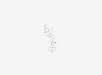 COC(=O)[C@H](Cc1ccc(O)c(Cl)c1)NC(=O)c1ccc2c(C3CCCCC3)c3n(c2c1)CCOc1cc(OC)ccc1-3